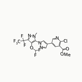 COC(=O)c1cc(-c2cnn(-c3c(OC(F)F)c(C(F)(F)C(F)(F)F)nn3C)c2)cnc1Cl